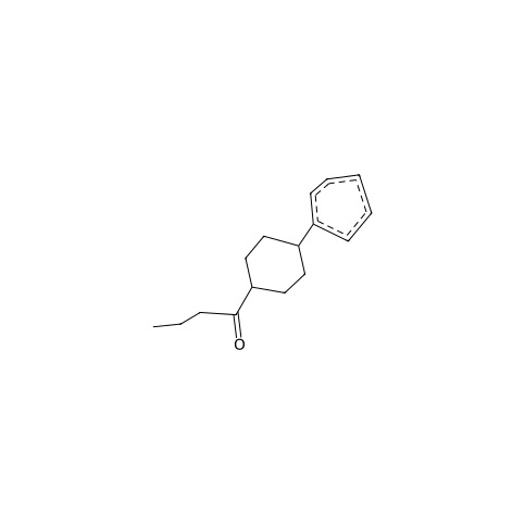 CCCC(=O)C1CCC(c2ccccc2)CC1